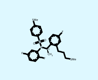 CSCCCc1cc(F)ccc1[C@@H](C)N(c1cc(F)ccc1F)S(=O)(=O)c1ccc(SC)cc1